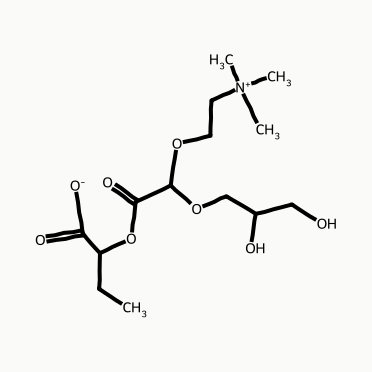 CCC(OC(=O)C(OCC[N+](C)(C)C)OCC(O)CO)C(=O)[O-]